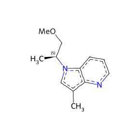 COC[C@H](C)n1cc(C)c2ncccc21